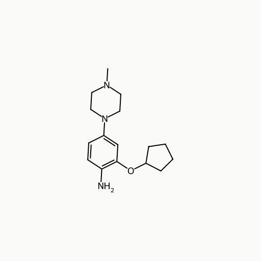 CN1CCN(c2ccc(N)c(OC3CCCC3)c2)CC1